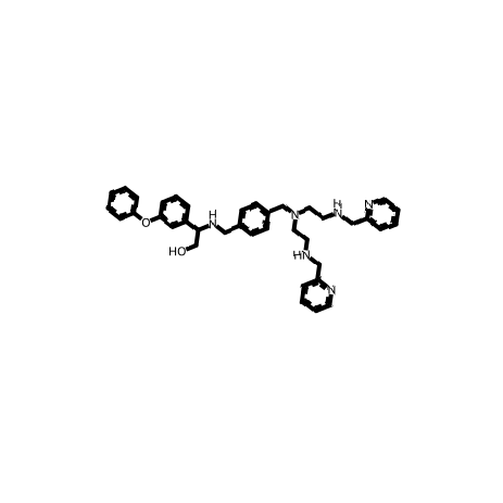 OCC(NCc1ccc(CN(CCNCc2ccccn2)CCNCc2ccccn2)cc1)c1cccc(Oc2ccccc2)c1